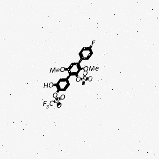 COc1cc(-c2ccc(F)cc2)c(OC)c(OS(C)(=O)=O)c1-c1ccc(OS(=O)(=O)C(F)(F)F)c(O)c1